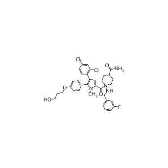 Cn1c(C(=O)[N+]2(NCc3cccc(F)c3)CCC(C(N)=O)CC2)cc(-c2ccc(Cl)cc2Cl)c1-c1ccc(OCCCO)cc1